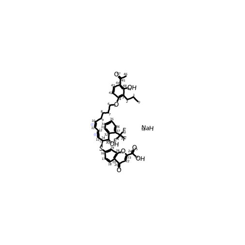 CCCc1c(OCCCC/C=C\C=C\[C@H](Sc2ccc3c(=O)cc(C(=O)O)oc3c2)[C@H](O)c2ccccc2C(F)(F)F)ccc(C(C)=O)c1O.[NaH]